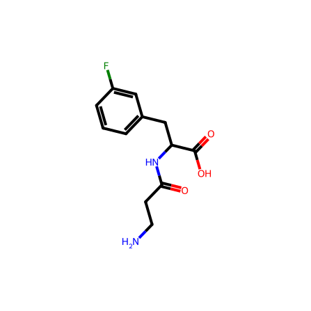 NCCC(=O)NC(Cc1cccc(F)c1)C(=O)O